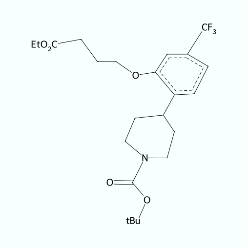 CCOC(=O)CCCOc1cc(C(F)(F)F)ccc1C1CCN(C(=O)OC(C)(C)C)CC1